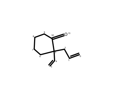 C=CCC1(C=C)CCCCC1=O